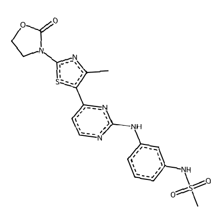 Cc1nc(N2CCOC2=O)sc1-c1ccnc(Nc2cccc(NS(C)(=O)=O)c2)n1